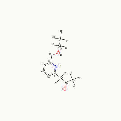 CC(C)(C)C(=O)C(C)(C)c1cccc(CO[Si](C)(C)C(C)(C)C)n1